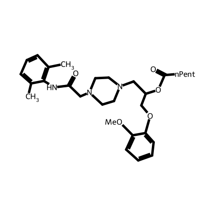 CCCCCC(=O)OC(COc1ccccc1OC)CN1CCN(CC(=O)Nc2c(C)cccc2C)CC1